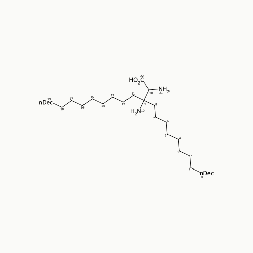 CCCCCCCCCCCCCCCCCCC(N)(CCCCCCCCCCCCCCCCCC)C(N)C(=O)O